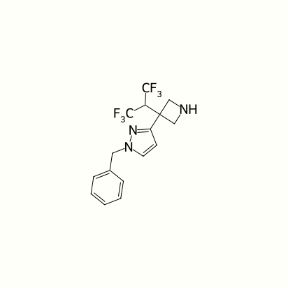 FC(F)(F)C(C(F)(F)F)C1(c2ccn(Cc3ccccc3)n2)CNC1